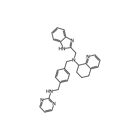 c1cnc(NCc2ccc(CN(Cc3nc4ccccc4[nH]3)C3CCCc4cccnc43)cc2)nc1